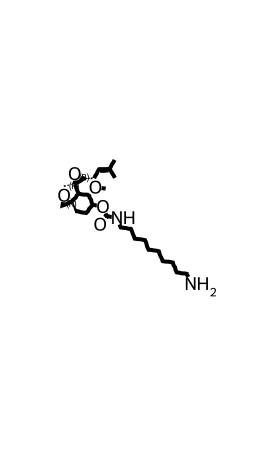 COC1C(OC(=O)NCCCCCCCCCCN)CC[C@]2(CO2)C1[C@@]1(C)O[C@@H]1CC=C(C)C